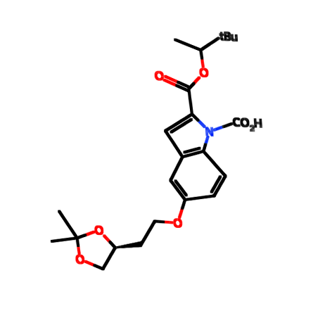 CC(OC(=O)c1cc2cc(OCC[C@H]3COC(C)(C)O3)ccc2n1C(=O)O)C(C)(C)C